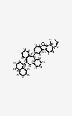 C/C=C\c1ccc2c(oc3ccc(C4=c5ccccc5=C(c5cccc6ccccc56)Cc5ccccc54)cc32)c1C